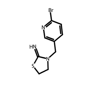 N=C1SCCN1Cc1ccc(Br)nc1